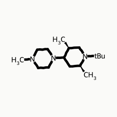 C[C@H]1CN(C(C)(C)C)[C@@H](C)CC1N1CCN(C)CC1